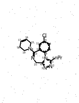 CCCc1nnc2n1-c1ccc(Cl)cc1C(N1CC=CCC1)=NC2